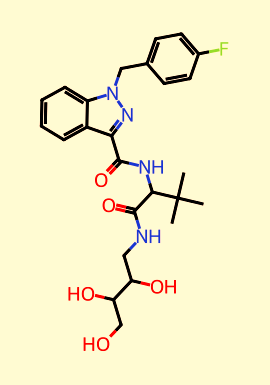 CC(C)(C)C(NC(=O)c1nn(Cc2ccc(F)cc2)c2ccccc12)C(=O)NCC(O)C(O)CO